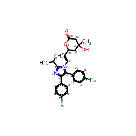 CC(C)c1nc(-c2ccc(F)cc2)c(-c2ccc(F)cc2)n1C=CC1CC(C)(O)CC(=O)O1